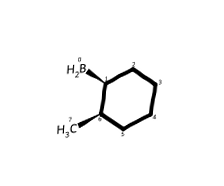 B[C@H]1CCCC[C@H]1C